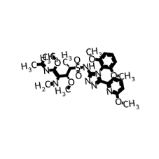 C=N/C(=C(\N=C(C)C)OC)[C@H](OC)[C@H](C)S(=O)(=O)Nc1nnc(-c2cccc(OC)n2)n1-c1c(OC)cccc1OC